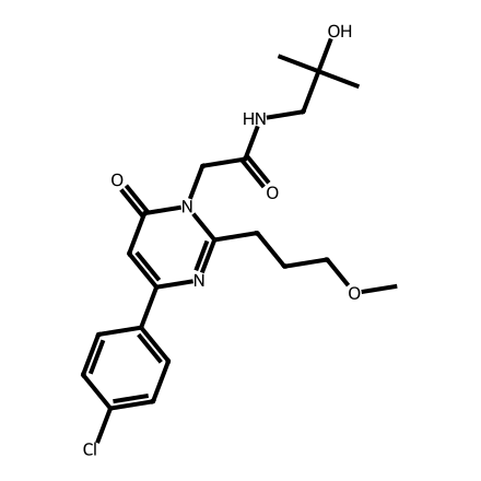 COCCCc1nc(-c2ccc(Cl)cc2)cc(=O)n1CC(=O)NCC(C)(C)O